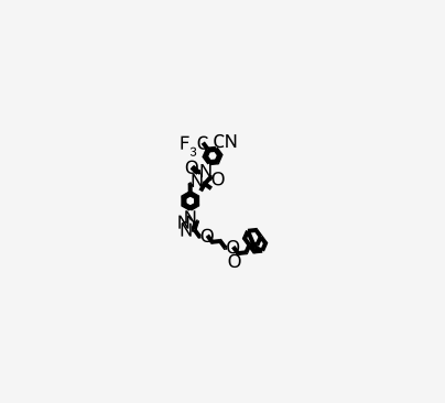 CC1(C)C(=O)N(c2ccc(C#N)c(C(F)(F)F)c2)C(=O)N1Cc1ccc(-n2cc(COCCCOC(=O)CC34CC5CC(CC(C5)C3)C4)nn2)cc1